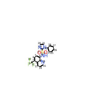 O=S(=O)(Nc1ccc(C(F)(F)F)c2cccnc12)c1nccn1-c1ccccc1